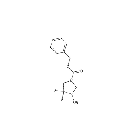 O=C(OCc1ccccc1)N1CC(O)C(F)(F)C1